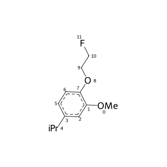 COc1cc(C(C)C)ccc1OCCF